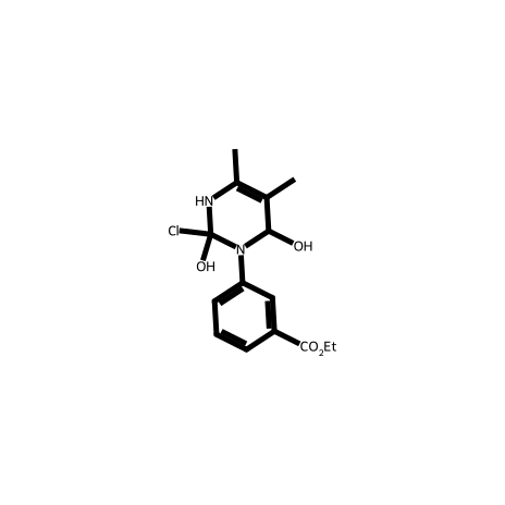 CCOC(=O)c1cccc(N2C(O)C(C)=C(C)NC2(O)Cl)c1